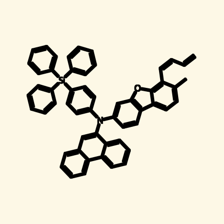 C=C/C=C\c1c(C)ccc2c1oc1cc(N(c3ccc([Si](c4ccccc4)(c4ccccc4)c4ccccc4)cc3)c3cc4ccccc4c4ccccc34)ccc12